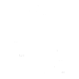 CCS(=O)(=O)c1ccc(C(C(N)=O)c2ccc(C(O)(C(F)(F)F)C(F)(F)F)c(F)c2)cc1